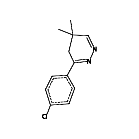 CC1(C)C=NN=C(c2ccc(Cl)cc2)C1